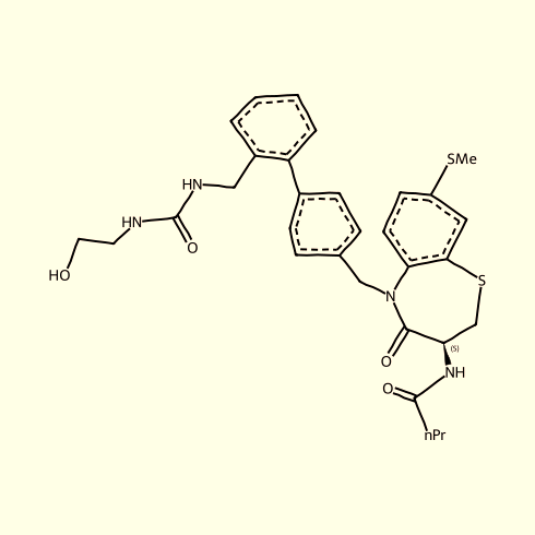 CCCC(=O)N[C@@H]1CSc2cc(SC)ccc2N(Cc2ccc(-c3ccccc3CNC(=O)NCCO)cc2)C1=O